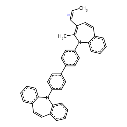 C/C=C\C1=C(C)N(c2ccc(-c3ccc(N4c5ccccc5C=Cc5ccccc54)cc3)cc2)c2ccccc2C=C1